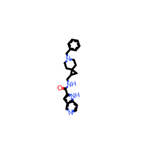 O=C(NCC1CC12CCN(Cc1ccccc1)CC2)c1cc2cnccc2[nH]1